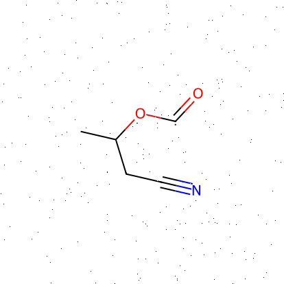 CC(CC#N)O[C]=O